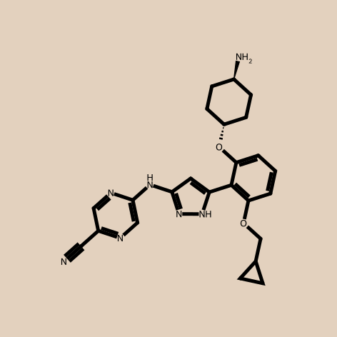 N#Cc1cnc(Nc2cc(-c3c(OCC4CC4)cccc3O[C@H]3CC[C@H](N)CC3)[nH]n2)cn1